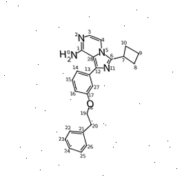 Nc1nccn2c(C3CCC3)nc(-c3cccc(OCCc4ccccc4)c3)c12